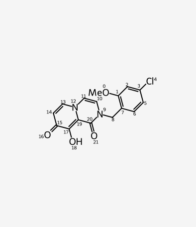 COc1cc(Cl)ccc1Cn1ccn2ccc(=O)c(O)c2c1=O